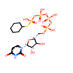 O=c1ccn([C@@H]2O[C@H](COP(=O)(O)OP(=O)(O)OP(=O)(O)OP(=O)(O)SC3CCCCC3)C(O)[C@@H]2O)c(=O)[nH]1